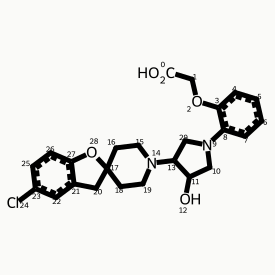 O=C(O)COc1ccccc1N1CC(O)C(N2CCC3(CC2)Cc2cc(Cl)ccc2O3)C1